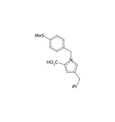 CSc1ccc(Cn2cc(CC(C)C)cc2C(=O)O)cc1